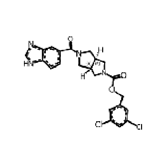 O=C(OCc1cc(Cl)cc(Cl)c1)N1C[C@@H]2CN(C(=O)c3ccc4[nH]cnc4c3)C[C@H]2C1